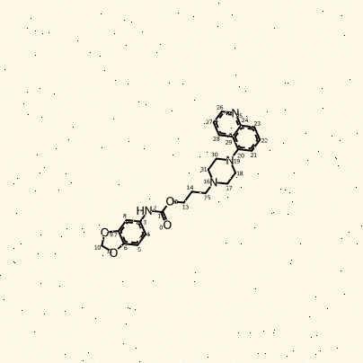 O=C(Nc1ccc2c(c1)OCO2)OCCCN1CCN(c2cccc3ncccc23)CC1